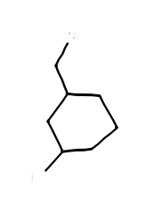 NCC1CCCC(O)C1